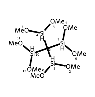 CO[SiH](OC)C([SiH](OC)OC)([SiH](OC)OC)[SiH](OC)OC